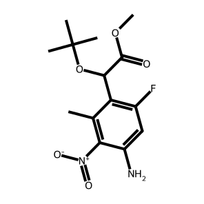 COC(=O)C(OC(C)(C)C)c1c(F)cc(N)c([N+](=O)[O-])c1C